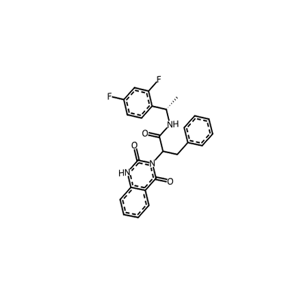 C[C@H](NC(=O)C(Cc1ccccc1)n1c(=O)[nH]c2ccccc2c1=O)c1ccc(F)cc1F